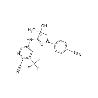 C[C@](O)(COc1ccc(C#N)cc1)C(=O)Nc1cnc(C#N)c(C(F)(F)F)c1